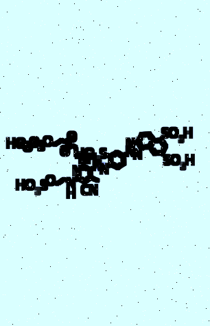 Cc1c(C#N)c(NCCOS(=O)(=O)O)nc(NCCS(=O)(=O)CCOSOOO)c1/N=N/c1ccc(-n2nc3ccc4c(S(=O)(=O)O)cc(S(=O)(=O)O)cc4c3n2)cc1S(=O)(=O)O